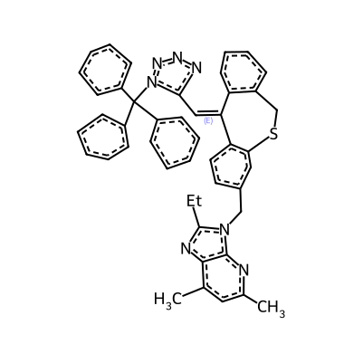 CCc1nc2c(C)cc(C)nc2n1Cc1ccc2c(c1)SCc1ccccc1/C2=C\c1nnnn1C(c1ccccc1)(c1ccccc1)c1ccccc1